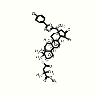 CC(=O)O[C@@H](c1nnc(-c2ccc(Cl)cc2)o1)[C@@]12CC[C@]3(C)[C@H](CC[C@@H]4[C@@]5(C)CC[C@H](OC(=O)CC(C)(C)C(=O)OC(C)(C)C)C(C)(C)[C@@H]5CC[C@]43C)C1=C(C(C)C)C(=O)C2